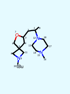 CC(CC1CC2(CO1)CN(C(C)(C)C)C2)N1CCN(C)CC1